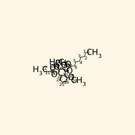 CCCCCCCC(=O)Oc1c(OC)c(OC)c(OC(=O)CC)c2cccc(OC)c12